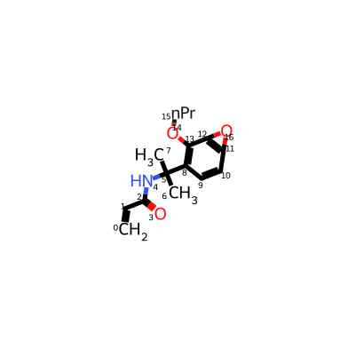 C=CC(=O)NC(C)(C)c1ccc2c(c1OCCC)O2